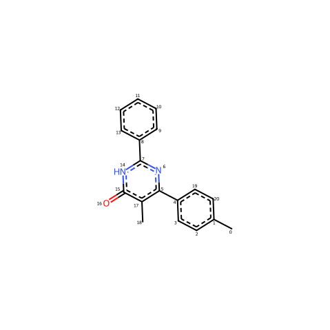 Cc1ccc(-c2nc(-c3ccccc3)[nH]c(=O)c2C)cc1